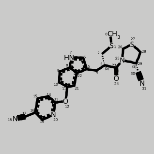 CSC[C@@H](Cc1c[nH]c2ccc(Oc3ccc(C#N)cn3)cc12)C(=O)N1CSC[C@@H]1C#N